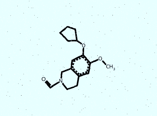 COc1cc2c(cc1OC1CCCC1)CN(C=O)CC2